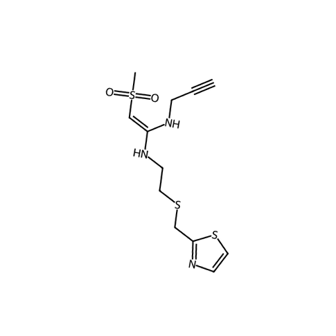 C#CCNC(=CS(C)(=O)=O)NCCSCc1nccs1